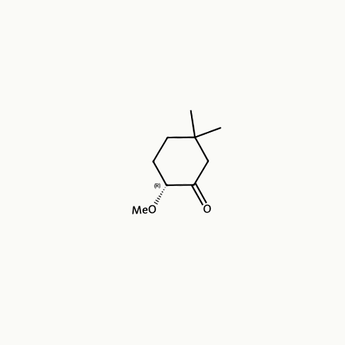 CO[C@@H]1CCC(C)(C)CC1=O